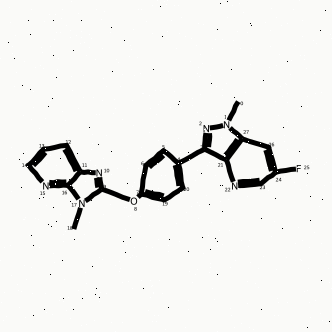 Cn1nc(-c2ccc(Oc3nc4cccnc4n3C)cc2)c2ncc(F)cc21